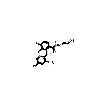 Cc1cc(Cl)cnc1Nc1c(C(=O)NOCCO)ccc(F)c1F